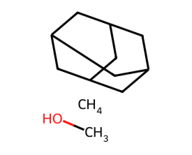 C.C1C2CC3CC1CC(C2)C3.CO